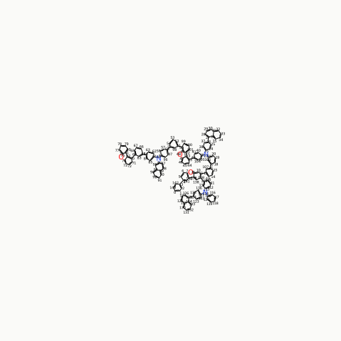 c1ccc(-c2ccc3oc4cc(-c5cccc(-c6cccc(N(c7ccc(-c8cccc9ccccc89)cc7)c7ccc(-c8cccc9oc%10c(-c%11cccc(-c%12ccc(N(c%13ccc(-c%14cccc(-c%15cccc%16oc%17ccccc%17c%15%16)c%14)cc%13)c%13ccc%14ccccc%14c%13)cc%12)c%11)cccc%10c89)cc7)c6)c5)c(-c5cccc(N(c6ccccc6)c6ccc(-c7cccc8ccccc78)cc6)c5)cc4c3c2)cc1